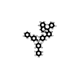 c1ccc(-c2ccc(N(c3ccc(-c4ccccc4)cc3)c3ccc(-c4cccc5c(-c6ccccc6)c6c7ccccc7ccn6c45)cc3)cc2)cc1